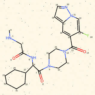 CNCC(=O)NC(C(=O)N1CCN(C(=O)c2cc3ccnn3cc2F)CC1)C1CCCCC1